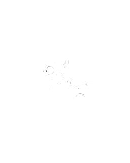 C=C/C(=C(/OCCC)C1=C(C)N(C(C)=O)[C@@H](C)CC1)c1cn[nH]c1